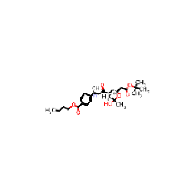 CCCCOC(=O)c1ccc(/C(C)=C/C(=O)CC[C@H](CC(=O)OC(C)(C)C)OC(C)(C)O)cc1